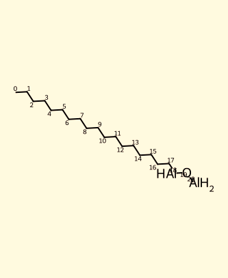 CCCCCCCCCCCCCCCCC[CH2][AlH][O][AlH2]